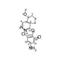 COC1CCCc2c1cnnc2Oc1c(Cl)cc(N)cc1Cl